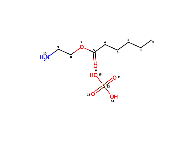 CCCCCC(=O)OCCN.O=S(=O)(O)O